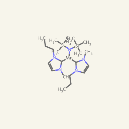 CCCN1C=CN(C)[CH]1[Mn]([CH]1N(C)C=CN1CCC)[N]([Si](C)(C)C)[Si](C)(C)C